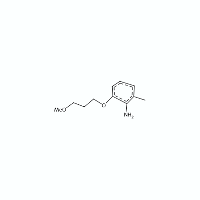 COCCCOc1cccc(C)c1N